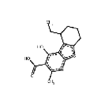 CCC1CCCc2sc3nc(C)c(C(=O)O)c(O)c3c21